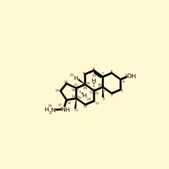 C[C@]12CCC(O)CC1=CC[C@@H]1[C@@H]2CC[C@]2(C)C(NN)CC[C@@H]12